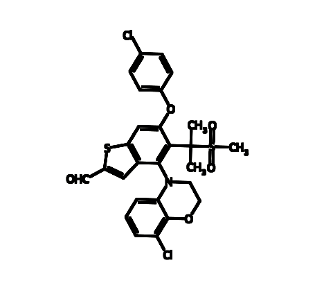 CC(C)(c1c(Oc2ccc(Cl)cc2)cc2sc(C=O)cc2c1N1CCOc2c(Cl)cccc21)S(C)(=O)=O